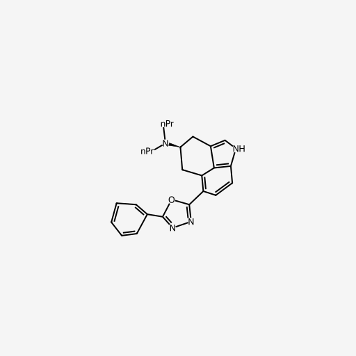 CCCN(CCC)[C@H]1Cc2c[nH]c3ccc(-c4nnc(-c5ccccc5)o4)c(c23)C1